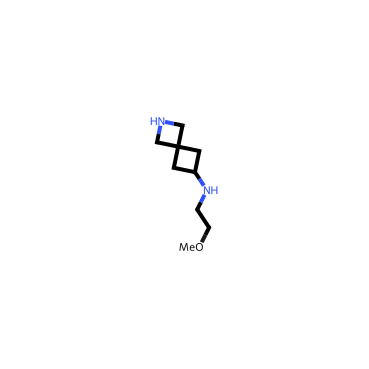 COCCNC1CC2(CNC2)C1